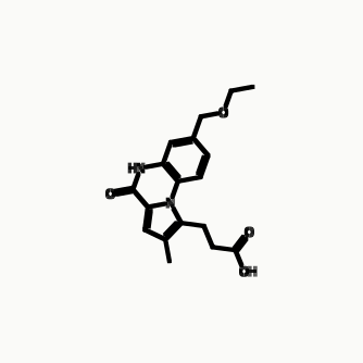 CCOCc1ccc2c(c1)[nH]c(=O)c1cc(C)c(CCC(=O)O)n12